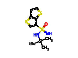 CC(C)(C)[Si](C)(C)NS(=N)(=O)c1csc2ccsc12